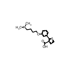 CN(C)CCCCOc1cccc(-c2sccc2C(=O)O)c1